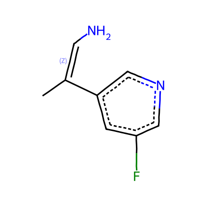 C/C(=C/N)c1cncc(F)c1